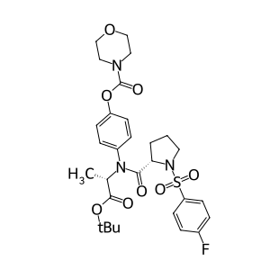 C[C@@H](C(=O)OC(C)(C)C)N(C(=O)[C@@H]1CCCN1S(=O)(=O)c1ccc(F)cc1)c1ccc(OC(=O)N2CCOCC2)cc1